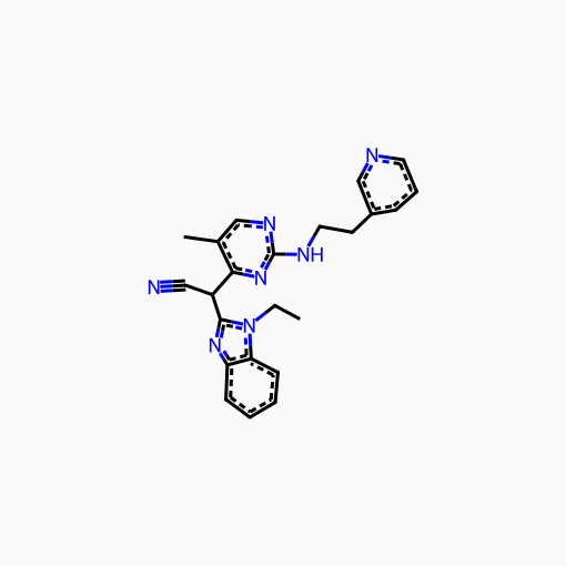 CCn1c(C(C#N)c2nc(NCCc3cccnc3)ncc2C)nc2ccccc21